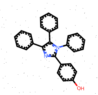 Oc1ccc(-c2nc(-c3ccccc3)c(-c3ccccc3)n2-c2ccccc2)cc1